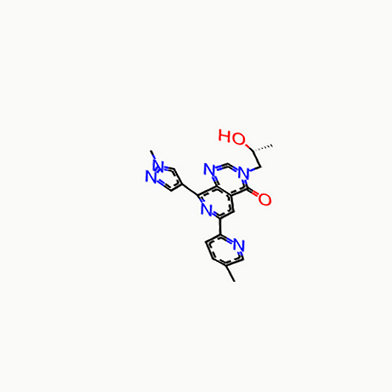 Cc1ccc(-c2cc3c(=O)n(C[C@@H](C)O)cnc3c(-c3cnn(C)c3)n2)nc1